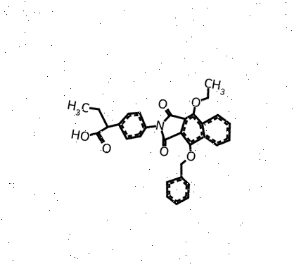 CCOc1c2c(c(OCc3ccccc3)c3ccccc13)C(=O)N(c1ccc(C(CC)C(=O)O)cc1)C2=O